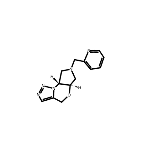 c1ccc(CN2C[C@@H]3[C@@H](C2)OCc2cnnn23)nc1